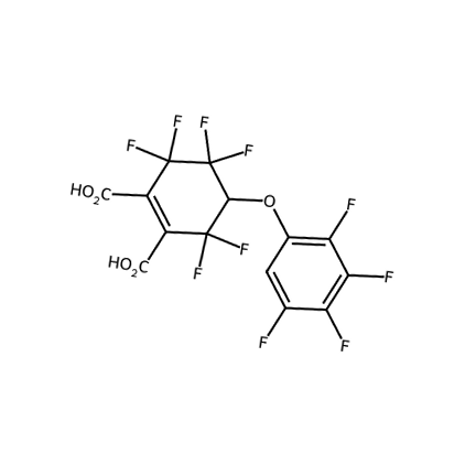 O=C(O)C1=C(C(=O)O)C(F)(F)C(F)(F)C(Oc2cc(F)c(F)c(F)c2F)C1(F)F